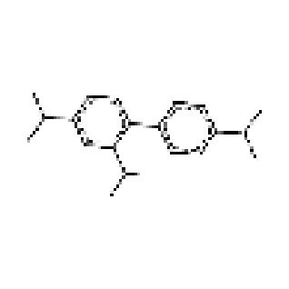 CC(C)c1ccc(-c2ccc(C(C)C)cc2C(C)C)cc1